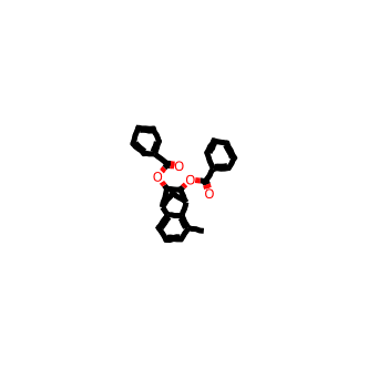 Cc1cccc2c1C1CC2C(OC(=O)c2ccccc2)C1OC(=O)c1ccccc1